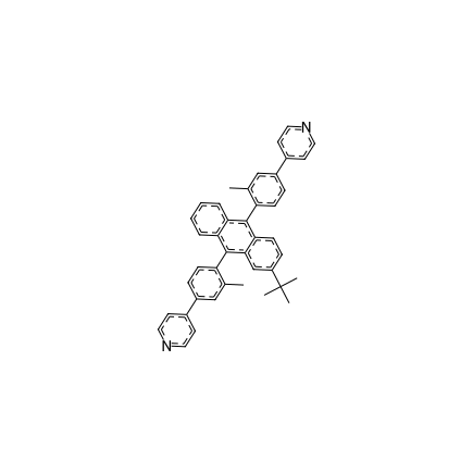 Cc1cc(-c2ccncc2)ccc1-c1c2ccccc2c(-c2ccc(-c3ccncc3)cc2C)c2cc(C(C)(C)C)ccc12